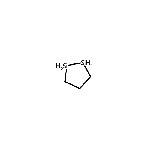 C1C[SiH2][SiH2]C1